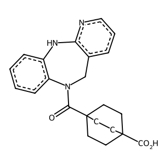 O=C(O)C12CCC(C(=O)N3Cc4cccnc4Nc4ccccc43)(CC1)CC2